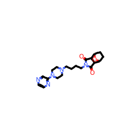 O=C1C2C3CCC(O3)C2C(=O)N1CCCCN1CCN(c2cnccn2)CC1